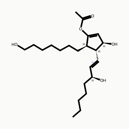 CCCCC[C@H](O)/C=C/[C@H]1[C@H](O)C=C(OC(C)=O)[C@@H]1CCCCCCCO